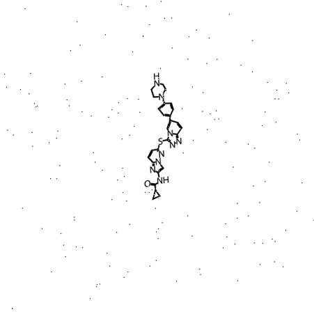 O=C(Nc1cn2nc(Sc3nnc4ccc(-c5ccc(N6CCNCC6)cc5)cn34)ccc2n1)C1CC1